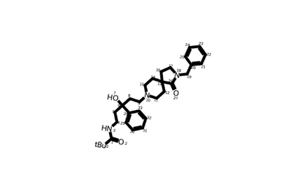 CC(C)(C)C(=O)NCCC(O)(CCN1CCC2(CC1)CCN(Cc1ccccc1)C2=O)c1ccccc1